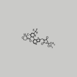 Cc1cc(C(F)(F)F)nc(-c2ccnc3cc(CN4C(=O)C5C(C4=O)C5(C)C)sc23)c1C(=O)N1CCOCC1